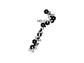 Cc1c(OCCCN2CCN(CC(=O)Nc3cccc4c(C5CCC(=O)NC5=O)nn(C)c34)CC2F)cccc1-c1ccc(N2CCc3cccc(C(=O)Nc4nc5ccccc5s4)c3C2)nc1C(=O)O